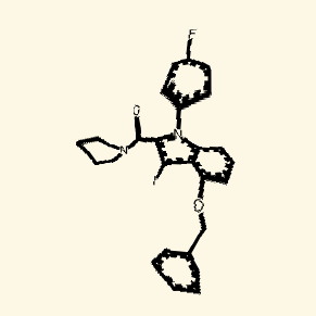 O=C(c1c(I)c2c(OCc3ccccc3)cccc2n1-c1ccc(F)cc1)N1CCCC1